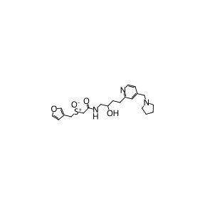 O=C(C[S+]([O-])Cc1ccoc1)NCC(O)CCc1cc(CN2CCCC2)ccn1